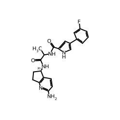 CC(NC(=O)c1cc(-c2cccc(F)c2)c[nH]1)C(=O)N[C@@H]1CCc2nc(N)ccc21